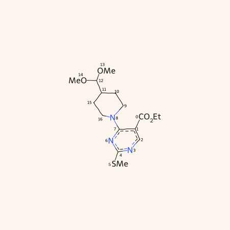 CCOC(=O)c1cnc(SC)nc1N1CCC(C(OC)OC)CC1